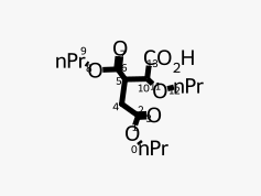 CCCOC(=O)CC(C(=O)OCCC)C(OCCC)C(=O)O